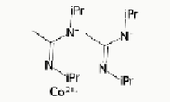 CC(=NC(C)C)[N-]C(C)C.CC(=NC(C)C)[N-]C(C)C.[Co+2]